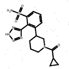 NS(=O)(=O)c1cccc(C2CCCN(C(=O)C3CC3)C2)c1-c1nn[nH]n1